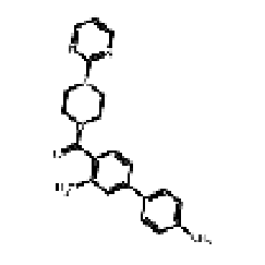 Cc1ccc(-c2ccc(C(=O)N3CCN(c4ncccn4)CC3)c(C)c2)cc1